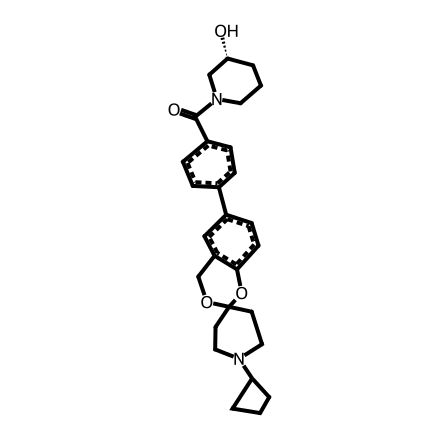 O=C(c1ccc(-c2ccc3c(c2)COC2(CCN(C4CCC4)CC2)O3)cc1)N1CCC[C@@H](O)C1